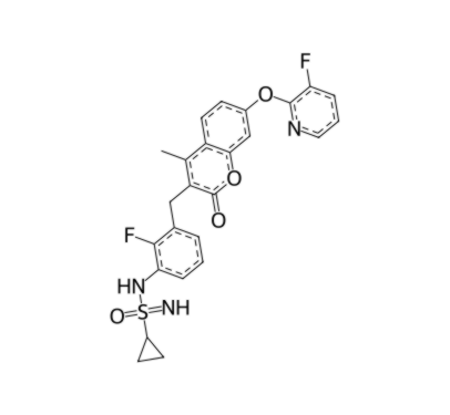 Cc1c(Cc2cccc(NS(=N)(=O)C3CC3)c2F)c(=O)oc2cc(Oc3ncccc3F)ccc12